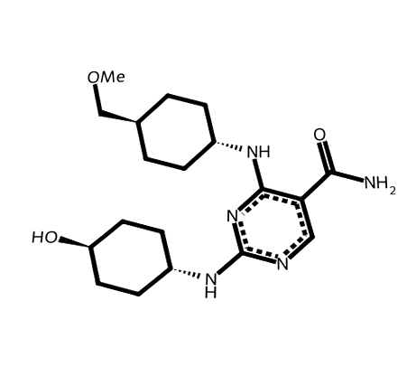 COC[C@H]1CC[C@H](Nc2nc(N[C@H]3CC[C@H](O)CC3)ncc2C(N)=O)CC1